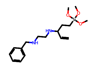 C=CC(CC[Si](OC)(OC)OC)NCCNCc1ccccc1